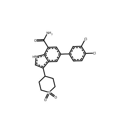 NC(=O)c1cc(-c2ccc(Cl)c(Cl)c2)cc2c(C3CCS(=O)(=O)CC3)c[nH]c12